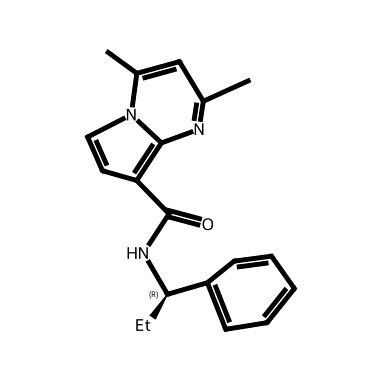 CC[C@@H](NC(=O)c1ccn2c(C)cc(C)nc12)c1ccccc1